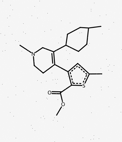 COC(=O)c1sc(C)cc1C1=C(C2CCC(C)CC2)CN(C)CC1